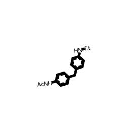 CCNc1ccc(Cc2ccc(NC(C)=O)cc2)cc1